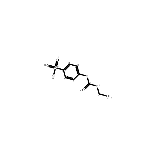 CCOC(=O)Oc1ccc(S(=O)(=O)Cl)cc1